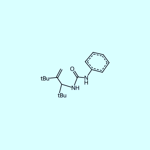 C=C(C(NC(=O)Nc1ccccc1)C(C)(C)C)C(C)(C)C